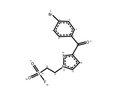 O=C(c1ccc(Br)cc1)c1ccn(CCS(=O)(=O)F)n1